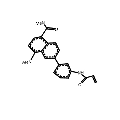 C=CC(=O)Nc1cccc(-c2ccc3c(C(=O)NC)ccc(NC)c3c2)c1